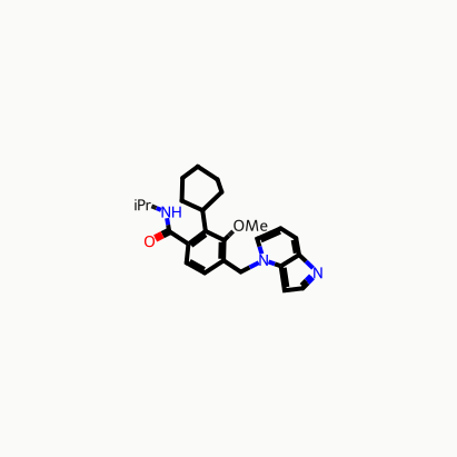 COc1c(Cn2cccc3nccc2-3)ccc(C(=O)NC(C)C)c1C1CCCCC1